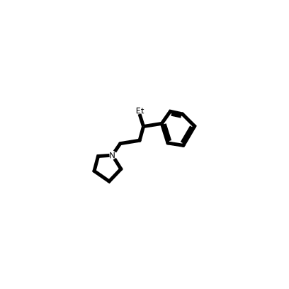 CCC(CCN1CCCC1)c1ccccc1